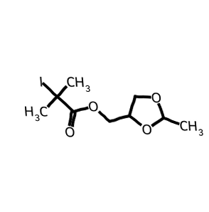 CC1OCC(COC(=O)C(C)(C)I)O1